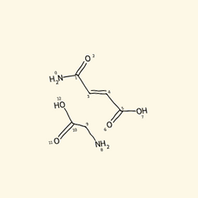 NC(=O)C=CC(=O)O.NCC(=O)O